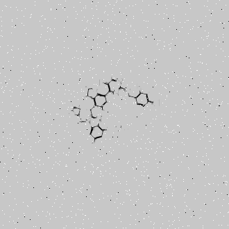 COc1cc(C(=O)O)cc2c1nc(Cc1c(F)cc(-c3nc(OCc4ccc(Cl)cc4F)ncc3F)c3c1CCO3)n2C[C@@H]1CCO1